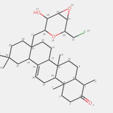 CC1C(=O)CCC2(C)C1CCC1(C)C3CCC4(CC5OC(CF)C6OC6C5O)CCC(C)(C)CC4C3=CCC12